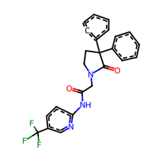 O=C(CN1CCC(c2ccccc2)(c2ccccc2)C1=O)Nc1ccc(C(F)(F)F)cn1